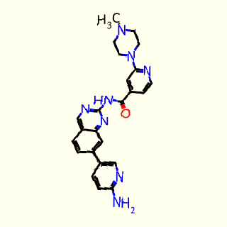 CN1CCN(c2cc(C(=O)Nc3ncc4ccc(-c5ccc(N)nc5)cc4n3)ccn2)CC1